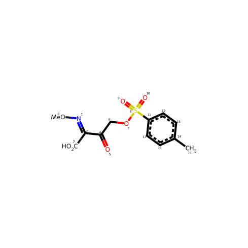 CON=C(C(=O)O)C(=O)COS(=O)(=O)c1ccc(C)cc1